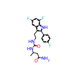 CC(CC(N)=O)NC(=O)NCCc1c(-c2ccc(F)cc2)[nH]c2c(F)cc(F)cc12